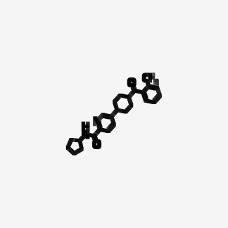 O=C(NC1CCCC1)c1ccc(C2CCC(C(=O)c3ccccc3C(F)(F)F)CC2)cn1